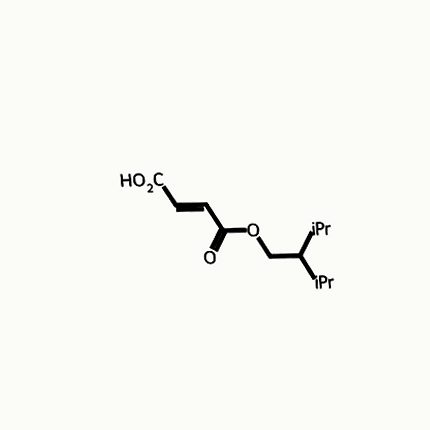 CC(C)C(COC(=O)C=CC(=O)O)C(C)C